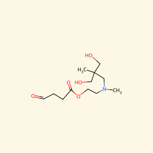 CN(CCOC(=O)CCC=O)CC(C)(CO)CO